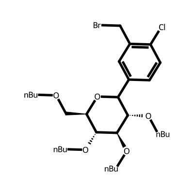 CCCCOC[C@H]1OC(c2ccc(Cl)c(CBr)c2)[C@H](OCCCC)[C@@H](OCCCC)[C@@H]1OCCCC